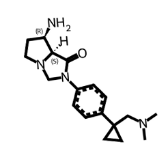 CN(C)CC1(c2ccc(N3CN4CC[C@@H](N)[C@H]4C3=O)cc2)CC1